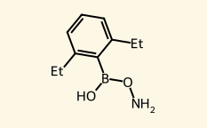 CCc1cccc(CC)c1B(O)ON